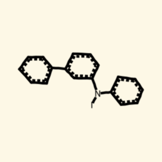 IN(c1ccccc1)c1cccc(-c2ccccc2)c1